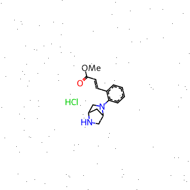 COC(=O)/C=C/c1ccccc1N1CC2CC1CN2.Cl